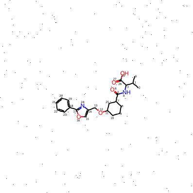 CC(C)C(NC(=O)C1CCCC(OCc2coc(-c3ccccc3)n2)C1)C(=O)O